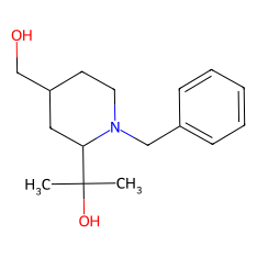 CC(C)(O)C1CC(CO)CCN1Cc1ccccc1